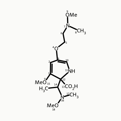 COC1=CC(OCCN(C)OC)=CNC1(C(=O)O)C(C)N(C)OC